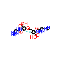 O=C(Nc1cc(CCOc2cc(C(=O)O)c(NC(=O)c3ccc4nnnn4n3)cc2F)c(F)cc1C(=O)O)c1ccc(-n2ccnc2)nn1